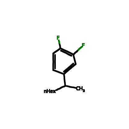 CCCCCCC(C)c1ccc(F)c(F)c1